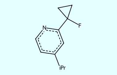 CC(C)c1ccnc(C2(F)CC2)c1